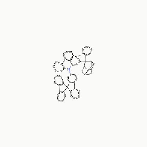 c1ccc(-c2ccccc2N(c2ccc3c(c2)C2(c4ccccc4-c4ccccc42)c2ccccc2-3)c2ccc3c(c2)C2(c4ccccc4-3)C3CC4CC(C3)CC2C4)cc1